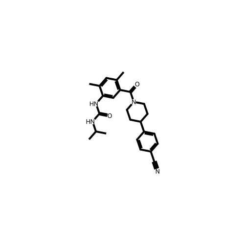 Cc1cc(C)c(C(=O)N2CCC(c3ccc(C#N)cc3)CC2)cc1NC(=O)NC(C)C